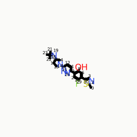 Cc1ncc(-c2cc(O)c(-c3ccc(N4CC[C@@H](N(C)C(C)(C)C)C4)nn3)cc2F)s1